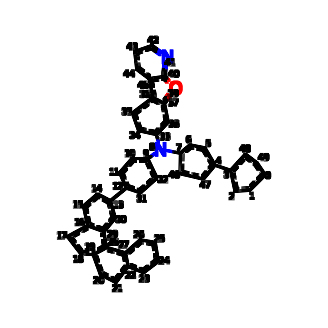 c1ccc(-c2ccc(N(c3ccc(-c4ccc5ccc6ccc7ccccc7c6c5c4)cc3)c3ccc4c(c3)oc3ncccc34)cc2)cc1